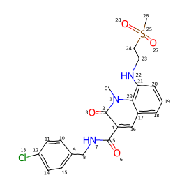 Cn1c(=O)c(C(=O)NCc2ccc(Cl)cc2)cc2cccc(NCCS(C)(=O)=O)c21